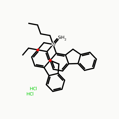 CCC[CH2][Zr](=[SiH2])([CH2]CCC)([c]1cccc2c1Cc1ccccc1-2)[c]1cccc2c1Cc1ccccc1-2.Cl.Cl